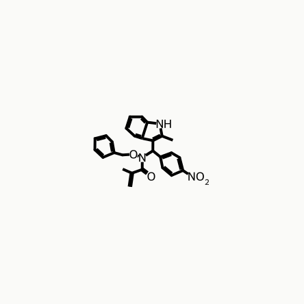 C=C(C)C(=O)N(OCc1ccccc1)C(c1ccc([N+](=O)[O-])cc1)c1c(C)[nH]c2ccccc12